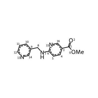 COC(=O)c1ccc(NCc2cccnc2)nc1